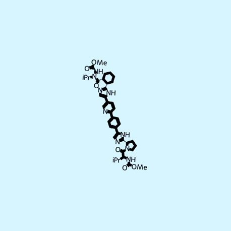 COC(=O)NC(C(=O)N1CCC[C@H]1c1ncc(-c2ccc(-c3ccc(-c4cnc([C@H]5CCCC[C@H]5C(=O)N(NC(=O)OC)C(C)C)[nH]4)cn3)cc2)[nH]1)C(C)C